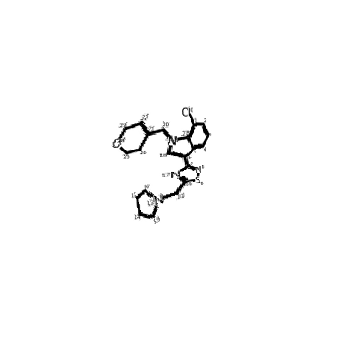 Clc1cccc2c(-c3nsc(CN4CCCC4)n3)cn(CC3CCOCC3)c12